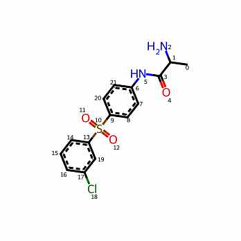 CC(N)C(=O)Nc1ccc(S(=O)(=O)c2cccc(Cl)c2)cc1